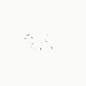 CCOC(=O)NCC(NC(=O)OCC)C(=O)NC(C)NC(=O)C(C)N1C(=O)C=CC1=O